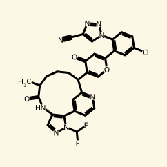 CC1CCCC(c2coc(-c3cc(Cl)ccc3-n3cc(C#N)nn3)cc2=O)c2cc(ccn2)-c2c(cnn2C(F)F)NC1=O